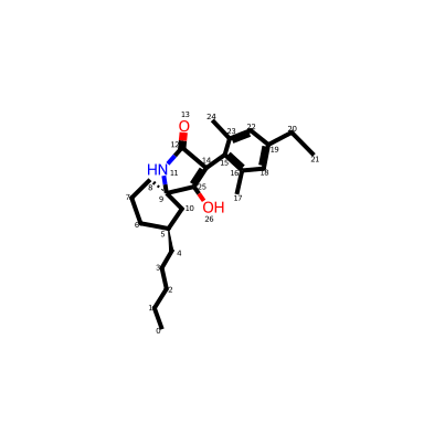 CCCCC[C@H]1CCC[C@]2(C1)NC(=O)C(c1c(C)cc(CC)cc1C)=C2O